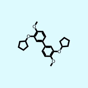 COc1ccc(-c2ccc(OC)c(OC3CCCC3)c2)cc1OC1CCCC1